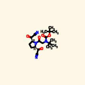 CC(C)(C)OC(=O)N(CC(=O)N1[C@@H](C(=O)C#N)CC[C@H]1C(=O)C#N)C(C)(C)C